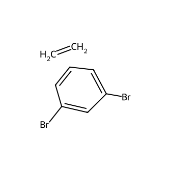 Brc1cccc(Br)c1.C=C